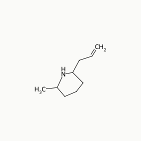 C=CCC1CCCC(C)N1